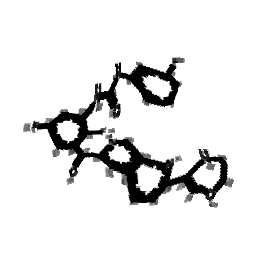 O=C(Nc1cccc(F)c1)Nc1cc(F)cc(C(=O)c2cc3ccc(C4COCCN4)nc3cn2)c1F